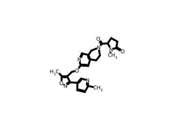 Cc1ccc(-c2noc(C)c2COc2cc3c(cn2)CN(C(=O)C2CCC(=O)N2C)CC3)cn1